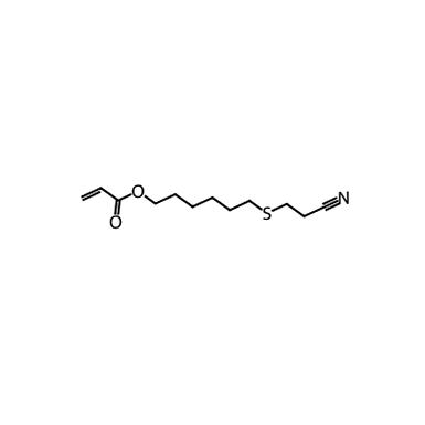 C=CC(=O)OCCCCCCSCCC#N